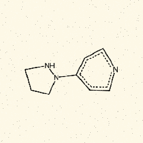 c1cc(N2CCCN2)ccn1